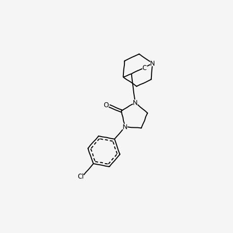 O=C1N(c2ccc(Cl)cc2)CCN1C1CN2CCC1CC2